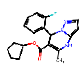 CC1=C(C(=O)OC2CCCC2)C(c2ccccc2F)n2nccc2N1